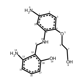 Nc1ccc(OCCO)c(NCc2c(N)cccc2O)c1